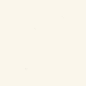 COc1ccc(CCNc2ccc([N+](=O)[O-])cc2)cc1OC1CCCC1